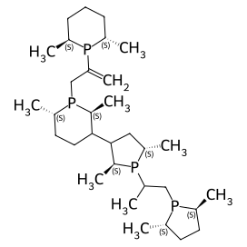 C=C(CP1[C@@H](C)CCC(C2C[C@H](C)P(C(C)CP3[C@@H](C)CC[C@@H]3C)[C@H]2C)[C@@H]1C)P1[C@@H](C)CCC[C@@H]1C